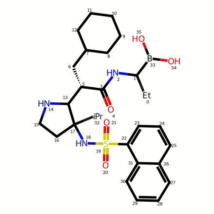 CCC(NC(=O)[C@@H](CC1CCCCC1)C1NCCC1(NS(=O)(=O)c1cccc2ccccc12)C(C)C)B(O)O